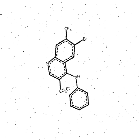 CCOC(=O)c1cnc2cc(C(F)(F)F)c(Br)cc2c1Nc1ccccc1